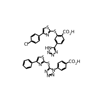 O=C(O)c1ccc(-c2nnn[nH]2)cc1Sc1nc(-c2ccc(Cl)cc2)cs1.O=C(O)c1ccc(-n2nnnc2Sc2nc(-c3ccccc3)cs2)cc1